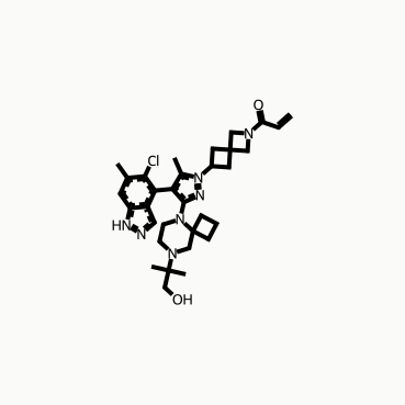 C=CC(=O)N1CC2(CC(n3nc(N4CCN(C(C)(C)CO)CC45CCC5)c(-c4c(Cl)c(C)cc5[nH]ncc45)c3C)C2)C1